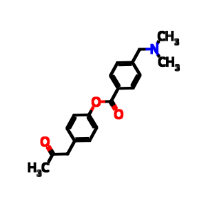 CC(=O)Cc1ccc(OC(=O)c2ccc(CN(C)C)cc2)cc1